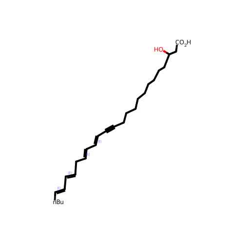 CCCC/C=C/C=C/C/C=C/C=C/C#CCCCCCCCCCC(O)CC(=O)O